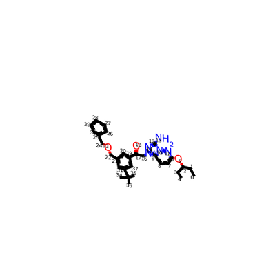 CCC(CC)Oc1ccc2n(n1)c(N)n[n+]2CC(=O)c1cc(COCc2ccccc2)cc(C(C)(C)C)c1